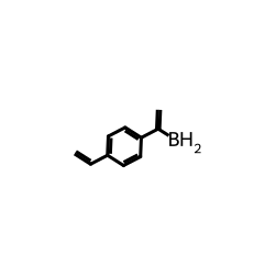 BC(=C)c1ccc(C=C)cc1